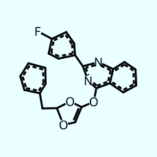 Fc1ccc(-c2nc(OC3=COC(Cc4ccccc4)O3)c3ccccc3n2)cc1